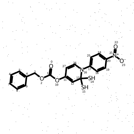 O=C(OCc1ccccc1)OC1=CC(S)(S)N(c2ccc([N+](=O)[O-])cc2)C=C1